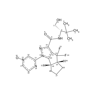 CC(C)(C)[C@@H](CO)NC(=O)c1nn(-c2c[n+]([O-])ccn2)c2c1C(F)(F)[C@@H]1CCC[C@H]21